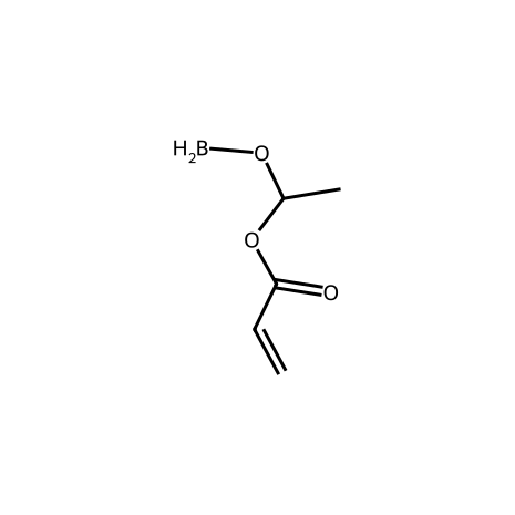 BOC(C)OC(=O)C=C